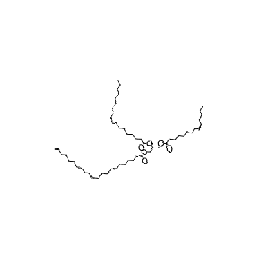 CCCC/C=C\CCCCCCCC(=O)OC[C@H](COC(=O)CCCCCCCCC/C=C\CCCCCCCCCC)OC(=O)CCCCCCC/C=C\CCCCCCCC